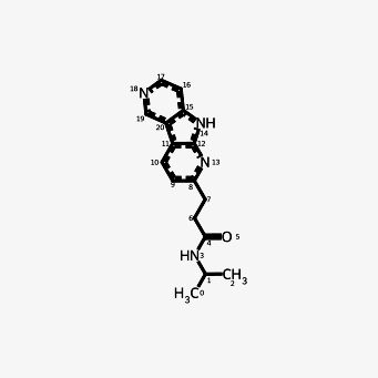 CC(C)NC(=O)CCc1ccc2c(n1)[nH]c1ccncc12